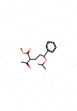 COC(=O)C(CCC(OC(C)C)c1ccccc1)C(C)=O